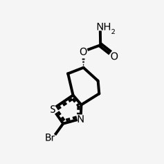 NC(=O)O[C@@H]1CCc2nc(Br)sc2C1